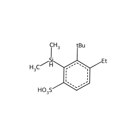 CCc1ccc(S(=O)(=O)O)c([SiH](C)C)c1C(C)(C)C